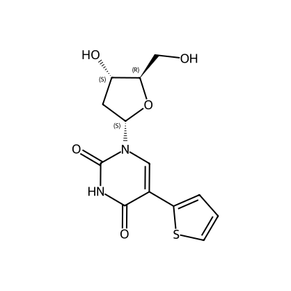 O=c1[nH]c(=O)n([C@@H]2C[C@H](O)[C@@H](CO)O2)cc1-c1cccs1